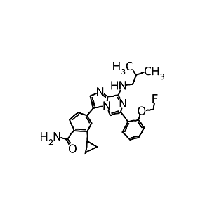 CC(C)CNc1nc(-c2ccccc2OCF)cn2c(-c3ccc(C(N)=O)c(C4CC4)c3)cnc12